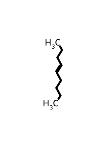 CCCC=CCCCC